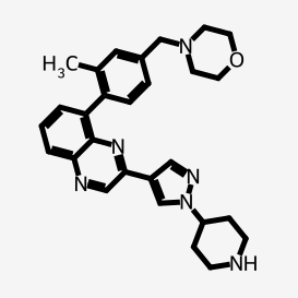 Cc1cc(CN2CCOCC2)ccc1-c1cccc2ncc(-c3cnn(C4CCNCC4)c3)nc12